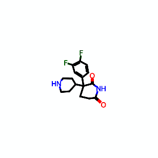 O=C1CCC(c2ccc(F)c(F)c2)(C2CCNCC2)C(=O)N1